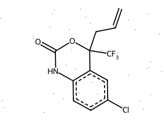 C=CCC1(C(F)(F)F)OC(=O)Nc2ccc(Cl)cc21